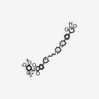 CCOc1cc([C@@H](C[S+](C)[O-])N2C(=O)c3ccc(C4CCN(CCCCN5CCC(N6CCC(c7ccc(C8CCC(=O)NC8=O)cc7)CC6)CC5)CC4)cc3C2=O)ccc1OC